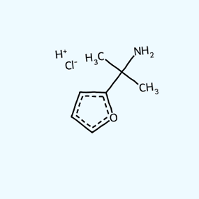 CC(C)(N)c1ccco1.[Cl-].[H+]